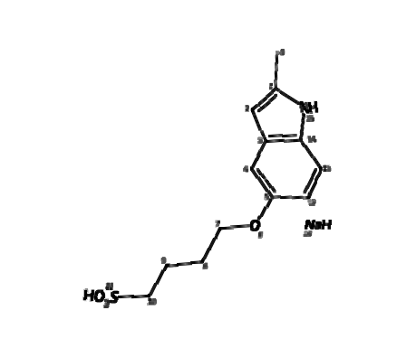 Cc1cc2cc(OCCCCS(=O)(=O)O)ccc2[nH]1.[NaH]